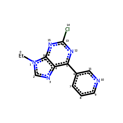 CCn1cnc2c(-c3cccnc3)nc(Cl)nc21